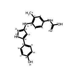 Cc1cc(NC(=O)O)ccc1Nc1cc(-c2ccc(O)cc2)[nH]n1